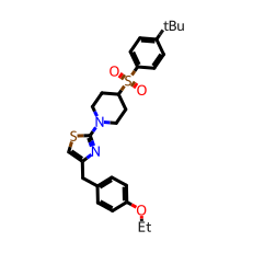 CCOc1ccc(Cc2csc(N3CCC(S(=O)(=O)c4ccc(C(C)(C)C)cc4)CC3)n2)cc1